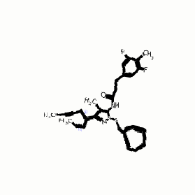 CC#C/C=C(\C=C/C)c1nn(SCc2ccccc2)c(NC(=O)CCc2cc(F)c(C)c(F)c2)c1C